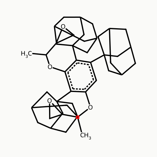 CC(Oc1cc(C23CC4CC(CC(C4)C2)C3)c(C23CC4CC(CC(C4)C2)C3)c(OC(C)C2CO2)c1C12CC3CC(CC(C3)C1)C2)C1CO1